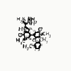 Cc1cccc(C)c1Oc1cn(C)c(=O)cc1-c1cn(C)c(=O)c2[nH]c(/C(=C/N)NN)cc12